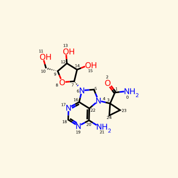 NC(=O)C1(N2CN([C@@H]3O[C@H](CO)C(O)C3O)c3ncnc(N)c32)CC1